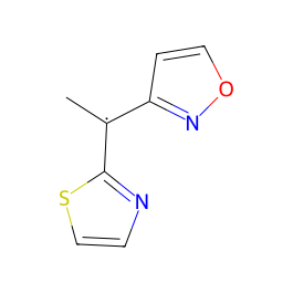 C[C](c1ccon1)c1nccs1